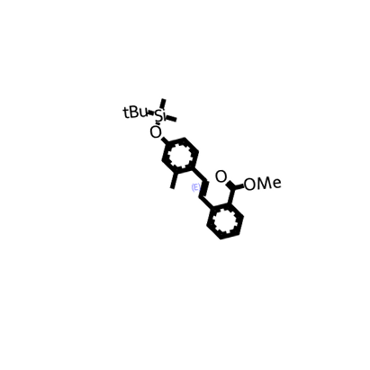 COC(=O)c1ccccc1/C=C/c1ccc(O[Si](C)(C)C(C)(C)C)cc1C